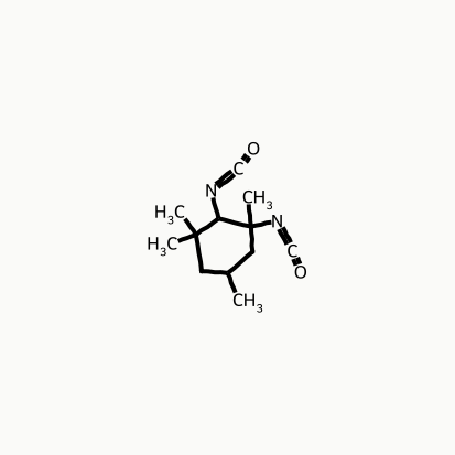 CC1CC(C)(C)C(N=C=O)C(C)(N=C=O)C1